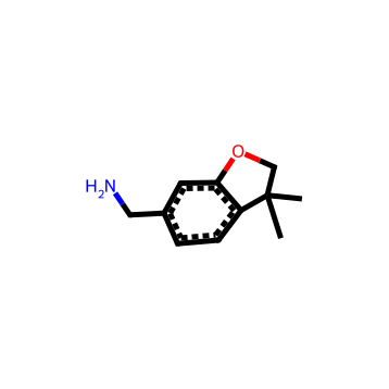 CC1(C)COc2cc(CN)ccc21